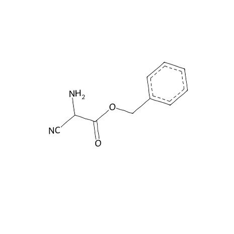 N#CC(N)C(=O)OCc1ccccc1